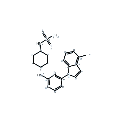 CS(=O)(=O)N[C@H]1CC[C@H](Nc2nccc(-n3ccc4c(F)cccc43)n2)CC1